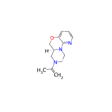 C=C(C)N1CCN2c3ncccc3OC[C@@H]2C1